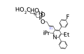 CCc1c(-c2ccccc2)nc(C(C)C)c(/C=C/CO[PH](=O)C[C@@H](O)CC(=O)O)c1-c1ccc(F)cc1